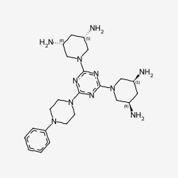 N[C@@H]1C[C@H](N)CN(c2nc(N3CCN(c4ccccc4)CC3)nc(N3C[C@H](N)C[C@H](N)C3)n2)C1